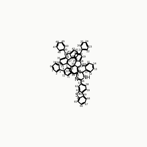 c1ccc(-c2ccc(C3=NC(c4ccccc4-n4c5cc(-c6ccccc6)ccc5c5c(-c6cccc7c6c6ccccc6n7-c6ccccc6)cccc54)NC(c4ccc5c(c4)sc4ccccc45)=N3)cc2)cc1